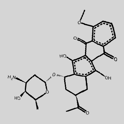 COc1cccc2c1C(=O)c1c(O)c3c(c(O)c1C2=O)C[C@@H](C(C)=O)C[C@@H]3O[C@H]1C[C@H](N)[C@H](O)[C@H](C)O1